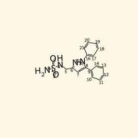 NS(=O)(=O)NCc1cc(-c2ccccc2)n(-c2ccccc2)n1